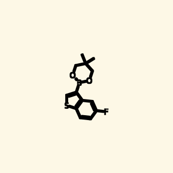 CC1(C)COB(c2csc3ccc(F)cc23)OC1